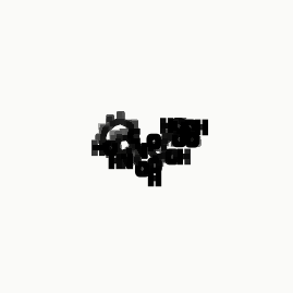 O=C1NC23CCCCCCCCC(CCC2O)(C3)N1C1OC(COP(=O)(O)O)C(O)C1O